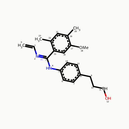 C=C/N=C(/Nc1ccc(CCBO)cc1)c1cc(OC)c(C)cc1C